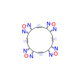 C1=C\c2nonc2/C=C\c2nonc2/C=C\c2nonc2/C=C\c2nonc2/1